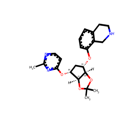 Cc1nccc(O[C@@H]2C[C@H](Oc3cccc4c3CNCC4)[C@H]3OC(C)(C)O[C@H]32)n1